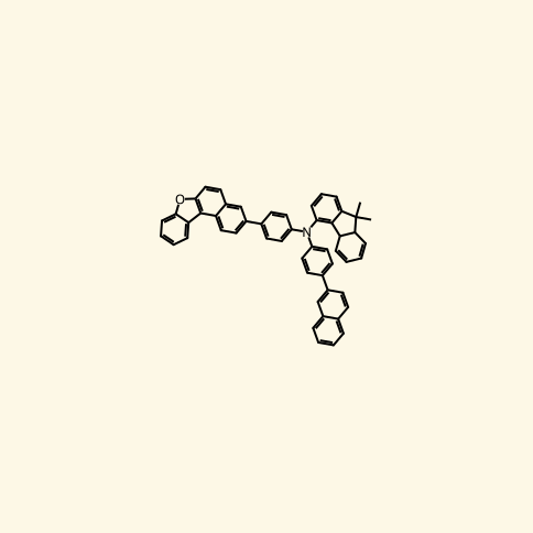 CC1(C)c2cccc(N(c3ccc(-c4ccc5ccccc5c4)cc3)c3ccc(-c4ccc5c(ccc6oc7ccccc7c65)c4)cc3)c2C2C=CC=CC21